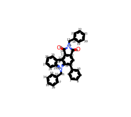 O=C1c2cc(-c3ccccc3)c3c(c2C(=O)N1Cc1ccccc1)c1ccccc1n3Cc1ccccc1